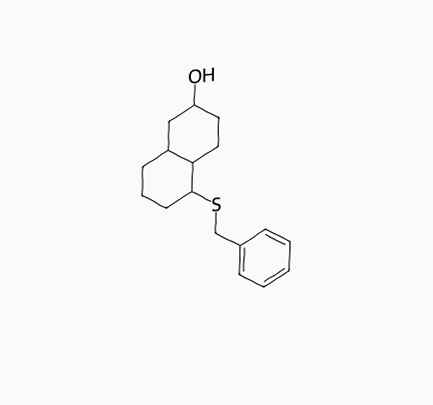 OC1CCC2C(CCCC2SCc2ccccc2)C1